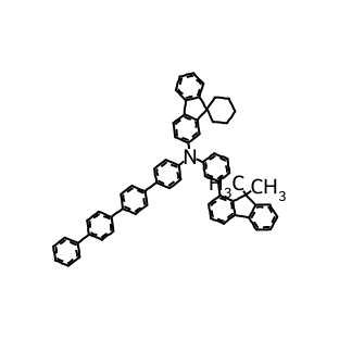 CC1(C)c2ccccc2-c2cccc(-c3cccc(N(c4ccc(-c5ccc(-c6ccc(-c7ccccc7)cc6)cc5)cc4)c4ccc5c(c4)C4(CCCCC4)c4ccccc4-5)c3)c21